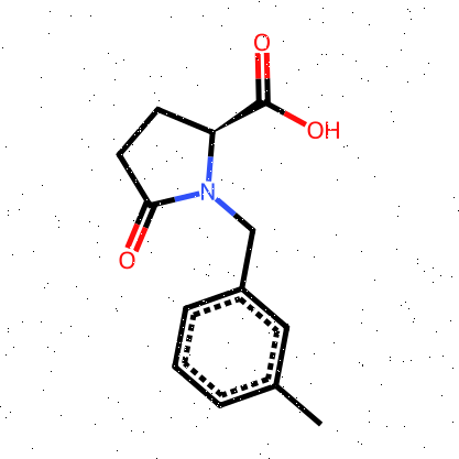 Cc1cccc(CN2C(=O)CC[C@H]2C(=O)O)c1